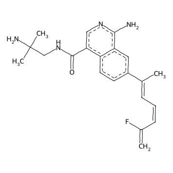 C=C(F)/C=C\C=C(/C)c1ccc2c(C(=O)NCC(C)(C)N)cnc(N)c2c1